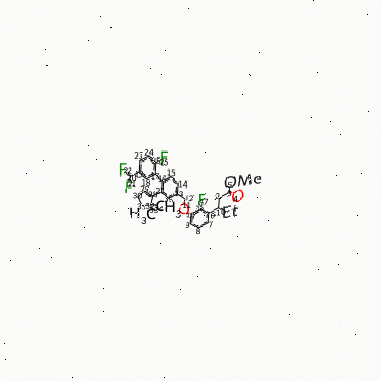 CC[C@H](CC(=O)OC)c1cccc(OCc2ccc(-c3cc(C(F)F)ccc3F)c(C3=CCCC3(C)C)c2)c1F